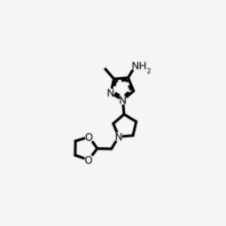 Cc1nn(C2CCN(CC3OCCO3)C2)cc1N